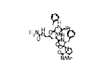 CNC(=O)[C@@H]1CCCN1C(=O)[C@H](Cc1ccccc1)NC(=O)[C@H](CCCNC(N)=O)NC(=O)[C@H](Cc1ccccc1)NC(=O)C(C)C